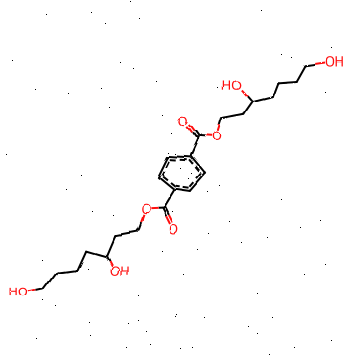 O=C(OCCC(O)CCCCO)c1ccc(C(=O)OCCC(O)CCCCO)cc1